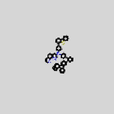 c1ccc(-c2ccc3c(c2)-c2ccccc2C32C3CC4CC(C3)CC2C4)c(-c2ccc(N(c3ccc(-c4cccc5c4sc4ccccc45)cc3)c3cnc4c(ccc5cccnc54)c3)cc2)c1